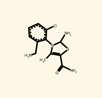 CC1=C(C(N)=O)SC(N)N1c1c(Cl)cccc1CN